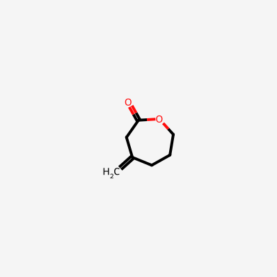 C=C1CCCOC(=O)C1